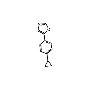 c1ncc(-c2ccc(C3CC3)cn2)o1